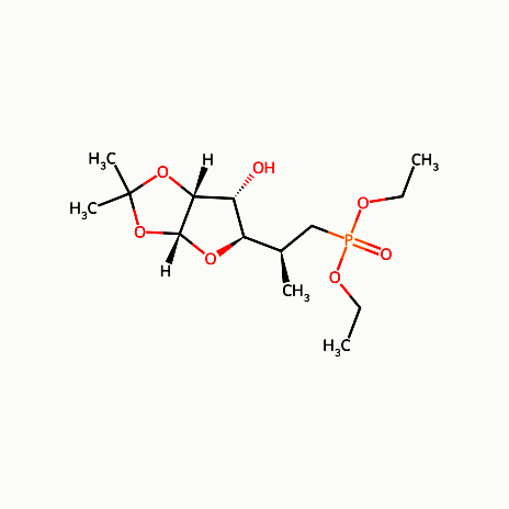 CCOP(=O)(C[C@@H](C)[C@H]1O[C@@H]2OC(C)(C)O[C@@H]2[C@@H]1O)OCC